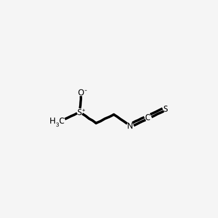 C[S+]([O-])CCN=C=S